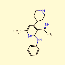 CCOC(=O)c1cc(C2CCNCC2)c(C(C)=N)c(Nc2ccccc2)n1